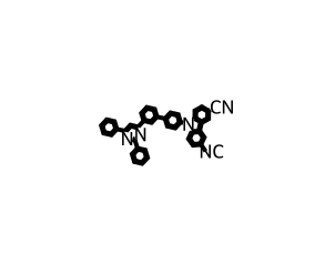 [C-]#[N+]c1ccc2c(c1)c1cc(C#N)ccc1n2-c1ccc(-c2cccc(-c3cc(-c4ccccc4)nc(-c4ccccc4)n3)c2)cc1